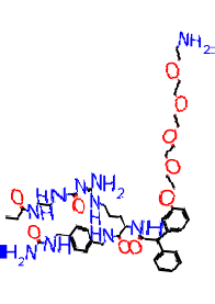 CCC(=O)NCCNC(=O)/N=C(/N)NCCC[C@@H](NC(=O)C(c1ccccc1)c1cccc(OCCOCCOCCOCCOCCN)c1)C(=O)NCc1ccc(CNC(N)=O)cc1